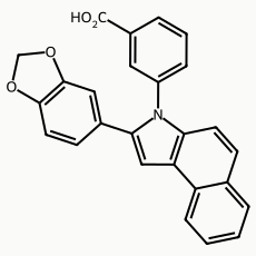 O=C(O)c1cccc(-n2c(-c3ccc4c(c3)OCO4)cc3c4ccccc4ccc32)c1